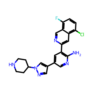 Nc1ncc(-c2cnn(C3CCNCC3)c2)cc1-c1cc2c(Cl)ccc(F)c2cn1